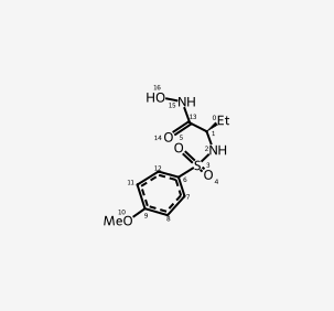 CC[C@@H](NS(=O)(=O)c1ccc(OC)cc1)C(=O)NO